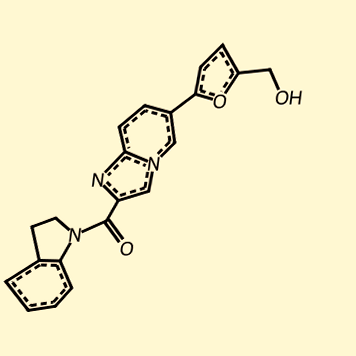 O=C(c1cn2cc(-c3ccc(CO)o3)ccc2n1)N1CCc2ccccc21